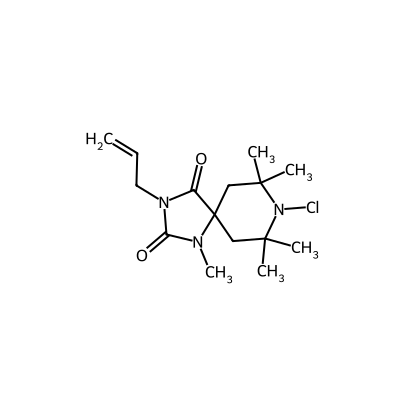 C=CCN1C(=O)N(C)C2(CC(C)(C)N(Cl)C(C)(C)C2)C1=O